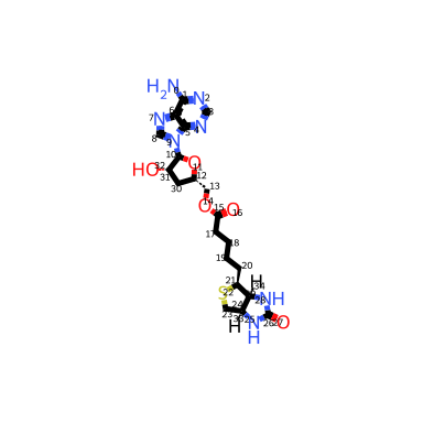 Nc1ncnc2c1ncn2C1O[C@H](COC(=O)CCCC[C@@H]2SC[C@@H]3NC(=O)N[C@@H]32)C[C@@H]1O